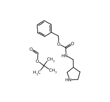 CC(C)(C)OC=O.O=C(NCC1CCNC1)OCc1ccccc1